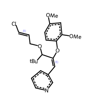 COc1ccc(O/C(=C/c2cccnc2)C(OC/C=C/Cl)C(C)(C)C)c(OC)c1